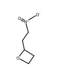 O=[N+]([O-])CCC1CCO1